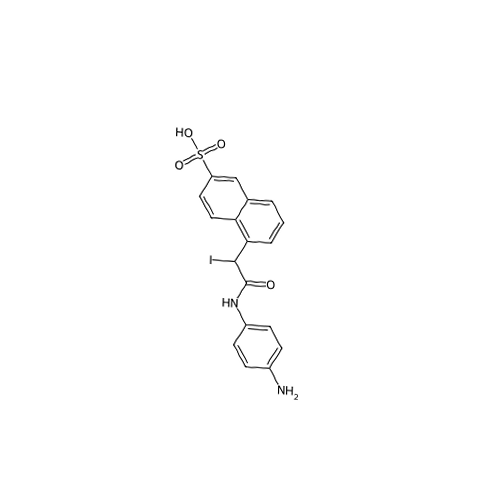 Nc1ccc(NC(=O)C(I)c2cccc3cc(S(=O)(=O)O)ccc23)cc1